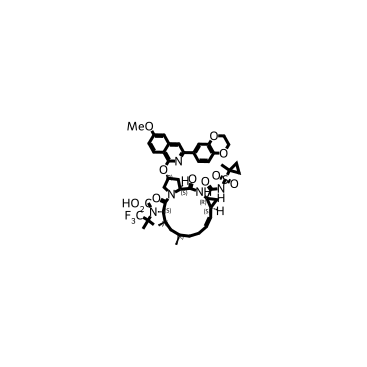 COc1ccc2c(O[C@@H]3C[C@H]4C(=O)N[C@]5(C(=O)NS(=O)(=O)C6(C)CC6)C[C@H]5C=CCC[C@@H](C)C[C@@H](C)[C@H](N(C(=O)O)C(C)(C)C(F)(F)F)C(=O)N4C3)nc(-c3ccc4c(c3)OCCO4)cc2c1